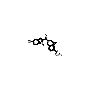 COC(=O)c1ccc(C[C@H](CC2CC2)C(=O)c2cc3cc(Cl)ccc3n2C)cc1